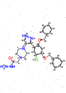 NNC(=O)CN1CCN(c2c[nH]nc2-c2cc(Cl)c(OCc3ccccc3)cc2OCc2ccccc2)CC1